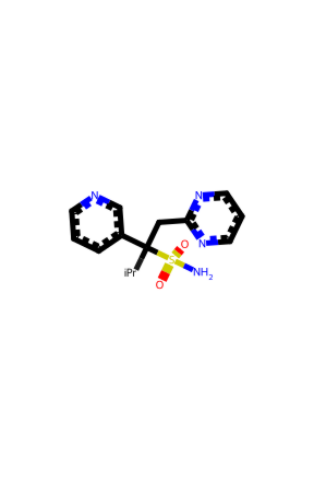 CC(C)C(Cc1ncccn1)(c1cccnc1)S(N)(=O)=O